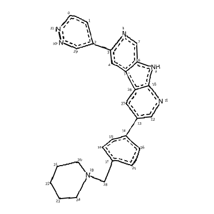 c1cc(-c2cc3c(cn2)[nH]c2ncc(-c4ccc(CN5CCCCC5)cc4)cc23)cnn1